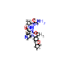 Cc1cc(Oc2ccccc2)ccc1N1C(=O)Nc2c(C(=O)NC3CCC[C@@H]3NC(=O)CN)sc3nccc1c23